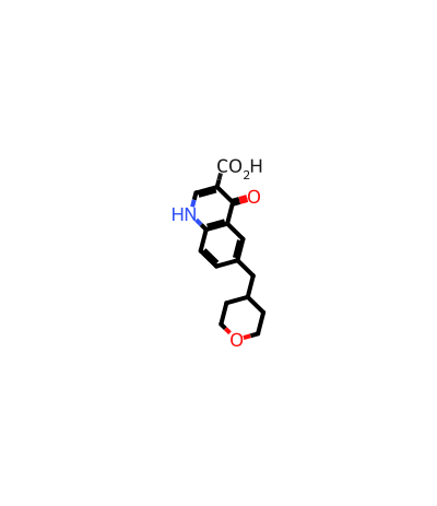 O=C(O)c1c[nH]c2ccc(CC3CCOCC3)cc2c1=O